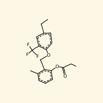 CCC(=O)Oc1cccc(C)c1COc1ccc(CC)cc1C(F)(F)F